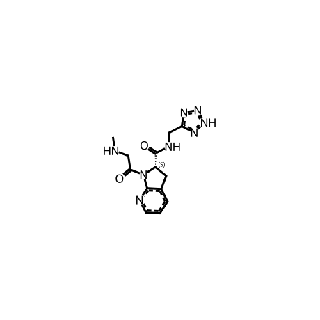 CNCC(=O)N1c2ncccc2C[C@H]1C(=O)NCc1nn[nH]n1